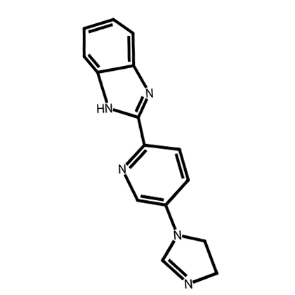 C1=NCCN1c1ccc(-c2nc3ccccc3[nH]2)nc1